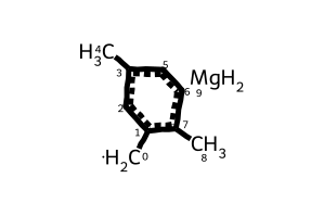 [CH2]c1cc(C)ccc1C.[MgH2]